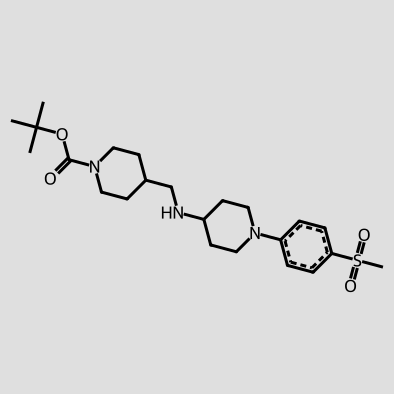 CC(C)(C)OC(=O)N1CCC(CNC2CCN(c3ccc(S(C)(=O)=O)cc3)CC2)CC1